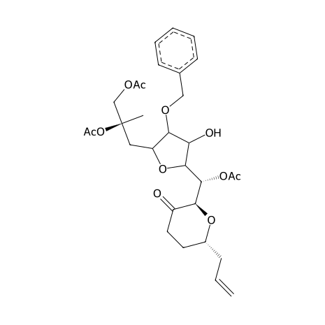 C=CC[C@@H]1CCC(=O)[C@@H]([C@@H](OC(C)=O)C2OC(C[C@@](C)(COC(C)=O)OC(C)=O)C(OCc3ccccc3)C2O)O1